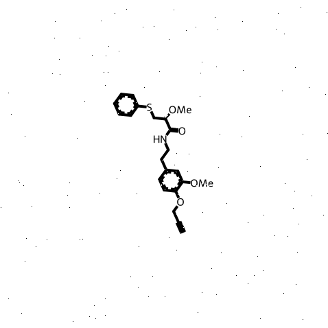 C#CCOc1ccc(CCNC(=O)[C@@H](CSc2ccccc2)OC)cc1OC